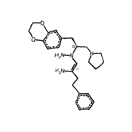 N/C(=C\N(N)[C@@H](Cc1ccc2c(c1)OCCO2)CN1CCCC1)CCc1ccccc1